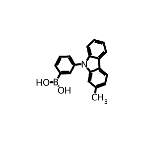 Cc1ccc2c3ccccc3n(-c3cccc(B(O)O)c3)c2c1